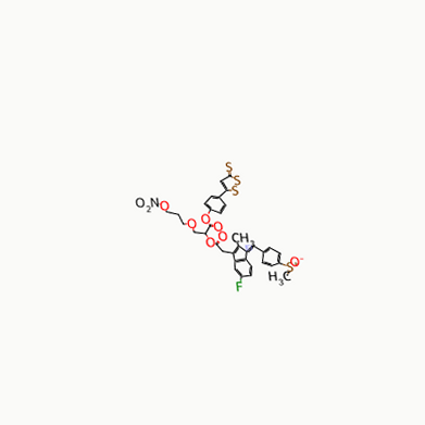 CC1=C(CC(=O)OC(COCCCO[N+](=O)[O-])C(=O)Oc2ccc(-c3cc(=S)ss3)cc2)c2cc(F)ccc2/C1=C\c1ccc([S+](C)[O-])cc1